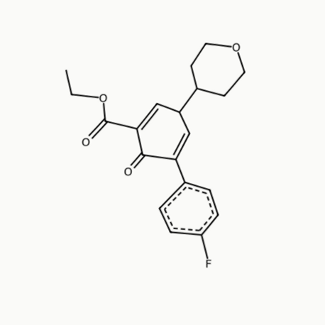 CCOC(=O)C1=CC(C2CCOCC2)C=C(c2ccc(F)cc2)C1=O